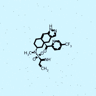 C=CC(=N)S(=O)(=O)N(C)[C@H]1CCC2=Cc3[nH]ncc3C[C@]2(C(=O)c2ccc(C(F)(F)F)cn2)C1